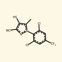 Cc1c(S)c(C#N)nn1-c1c(Cl)cc(C(F)(F)F)cc1Cl